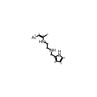 CC(=O)/C=C(/C)NCCNCc1ccc[nH]1